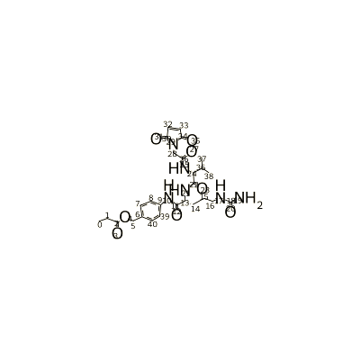 CCC(=O)OCc1ccc(NC(=O)[C@@H](CCCNC(N)=O)NC(=O)[C@H](NC(=O)CN2C(=O)C=CC2=O)C(C)C)cc1